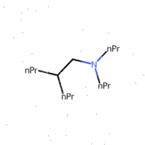 CCCC(CCC)CN(CCC)CCC